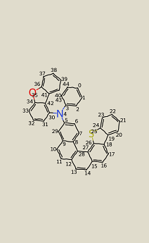 c1ccc(N(c2ccc3c(ccc4ccc5ccc6c7ccccc7sc6c5c43)c2)c2cccc3oc4ccccc4c23)cc1